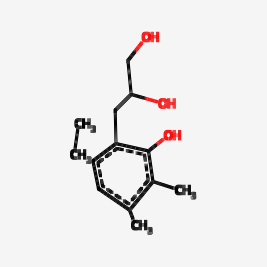 CC.Cc1ccc(CC(O)CO)c(O)c1C